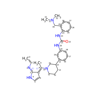 C=C/N=C1/NC=C/C1=C(/C)N1CCCC(c2cccc(NC(=O)Nc3ccccc3CN(C)C)c2)C1